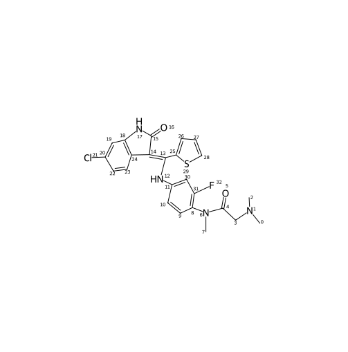 CN(C)CC(=O)N(C)c1ccc(NC(=C2C(=O)Nc3cc(Cl)ccc32)c2cccs2)cc1F